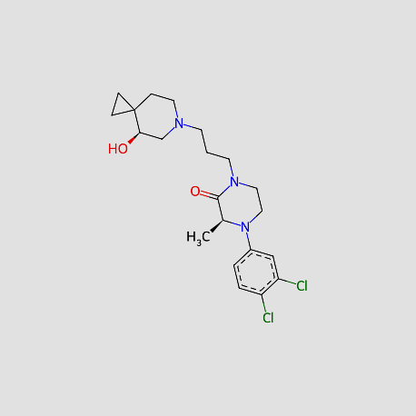 C[C@H]1C(=O)N(CCCN2CCC3(CC3)[C@H](O)C2)CCN1c1ccc(Cl)c(Cl)c1